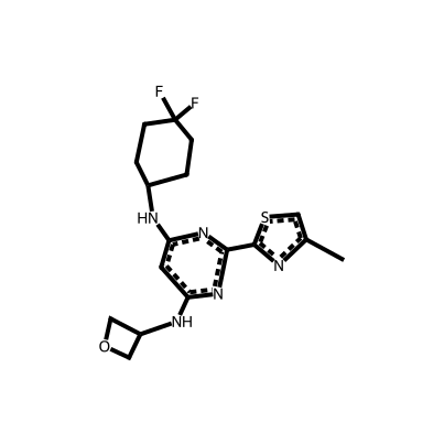 Cc1csc(-c2nc(NC3CCC(F)(F)CC3)cc(NC3COC3)n2)n1